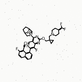 C#Cc1c(F)ccc2cccc(-c3ncc4c(N5CC6CCC(C5)N6)nc(OCC5(CN6CCC(=C(F)F)CC6)CC5)nc4c3F)c12